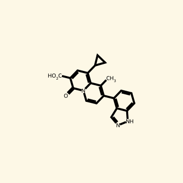 Cc1c(-c2cccc3[nH]ncc23)ccn2c(=O)c(C(=O)O)cc(C3CC3)c12